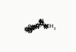 Cn1cc(-c2cc(-c3ccc(N4CCN(C(=O)[C@H](O)c5ccccc5Cl)CC4)nc3)c3ccnn3c2)cn1